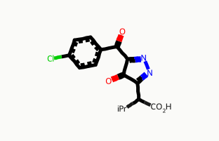 CC(C)C(C(=O)O)C1=NN=C(C(=O)c2ccc(Cl)cc2)C1=O